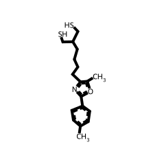 Cc1ccc(-c2nc(CCCCC(CS)CS)c(C)o2)cc1